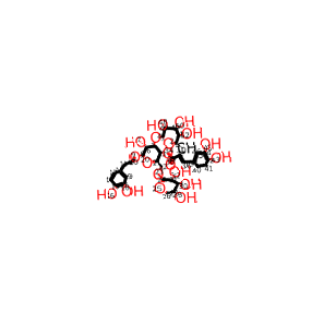 C[C@@H]1O[C@@H](O[C@@H]2[C@@H](O)[C@H](OCCc3ccc(O)c(O)c3)O[C@H](CO[C@@H]3OC[C@@H](O)[C@H](O)[C@H]3O)[C@H]2OC(=O)/C=C/c2ccc(O)c(O)c2)[C@H](O)[C@H](O)[C@H]1O